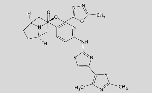 Cc1nnc(CO[C@H]2C[C@H]3CC[C@@H](C2)N3C(=O)c2ccc(Nc3nc(-c4sc(C)nc4C)cs3)nc2)o1